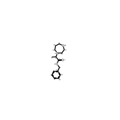 CC(C(=O)OCc1ccccc1)N1CCCOCC1